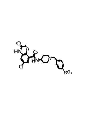 O=C1COc2c(cc(Cl)cc2C(=O)NC2CCN(Cc3ccc([N+](=O)[O-])cc3)CC2)N1